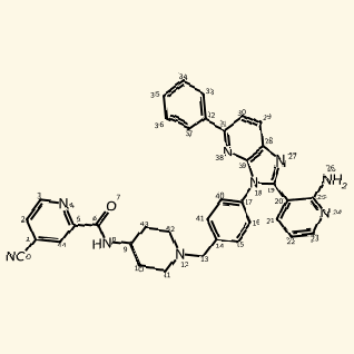 N#Cc1ccnc(C(=O)NC2CCN(Cc3ccc(-n4c(-c5cccnc5N)nc5ccc(-c6ccccc6)nc54)cc3)CC2)c1